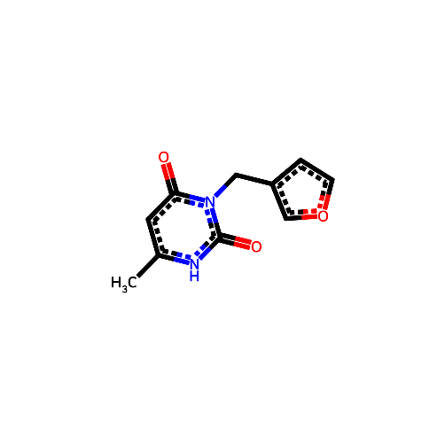 Cc1cc(=O)n(Cc2ccoc2)c(=O)[nH]1